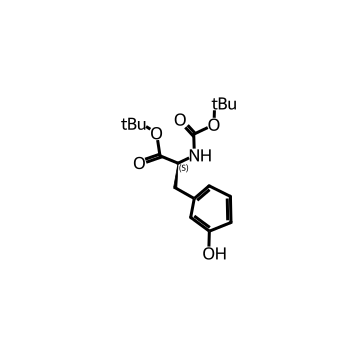 CC(C)(C)OC(=O)N[C@@H](Cc1cccc(O)c1)C(=O)OC(C)(C)C